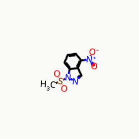 CS(=O)(=O)n1ncc2c([N+](=O)[O-])cccc21